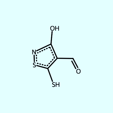 O=Cc1c(O)nsc1S